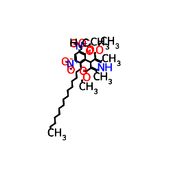 CCCCCCCCCCCCCCCc1c([N+](=O)[O-])cc([N+](=O)[O-])c(OC(C)C)c1C1C(C(=O)OCC)=C(C)NC(C)=C1C(=O)OCC